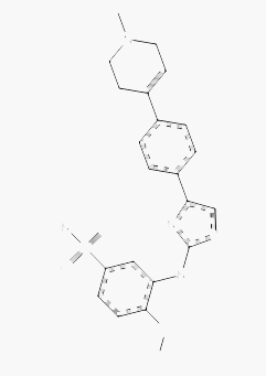 CC(C)Oc1ccc(S(N)(=O)=O)cc1Nc1nc(-c2ccc(C3=CCN(C)CC3)cc2)cs1